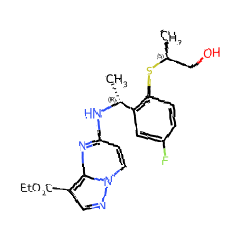 CCOC(=O)c1cnn2ccc(N[C@H](C)c3cc(F)ccc3S[C@@H](C)CO)nc12